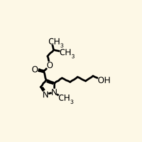 CC(C)COC(=O)c1cnn(C)c1CCCCCO